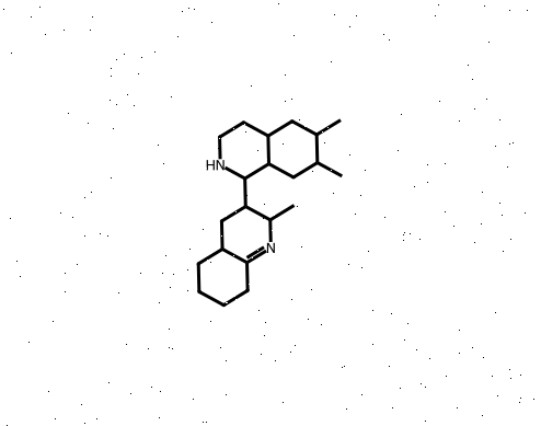 CC1CC2CCNC(C3CC4CCCCC4=NC3C)C2CC1C